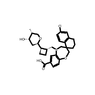 C[C@@H]1CO[C@@H]([C@@H]2CC[C@H]2CN2CC3(CCCc4cc(Cl)ccc43)COc3ccc(C(=O)O)cc32)C[C@@H]1O